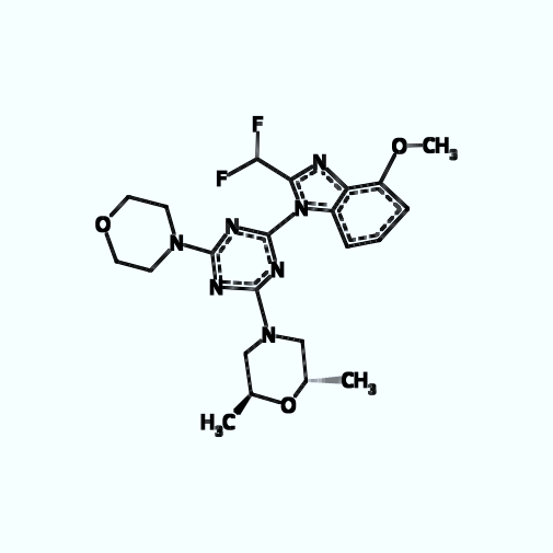 COc1cccc2c1nc(C(F)F)n2-c1nc(N2CCOCC2)nc(N2C[C@H](C)O[C@@H](C)C2)n1